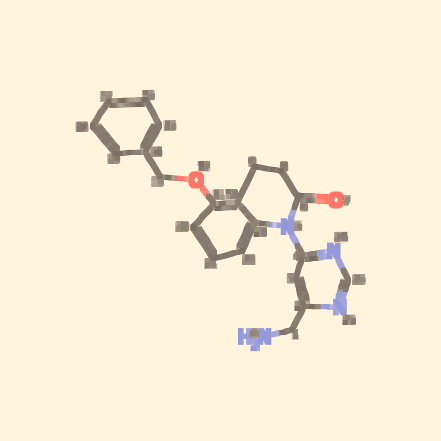 NCc1cc(N2C(=O)CCc3c(OCc4ccccc4)cccc32)ncn1